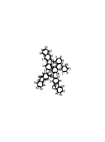 c1ccc(-c2cccc(-n3c4ccccc4c4cc5ccccc5cc43)c2-c2ccc(N(c3ccc4c(c3)oc3ccccc34)c3ccc4sc5ccccc5c4c3)cc2)cc1